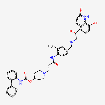 Cc1cc(CNCC(O)c2ccc(O)c3[nH]c(=O)ccc23)ccc1NC(=O)CCN1CCC(OC(=O)Nc2ccccc2-c2ccccc2)CC1